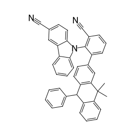 CC1(C)c2ccccc2C(c2ccccc2)c2ccc(-c3cccc(C#N)c3-n3c4ccccc4c4cc(C#N)ccc43)cc21